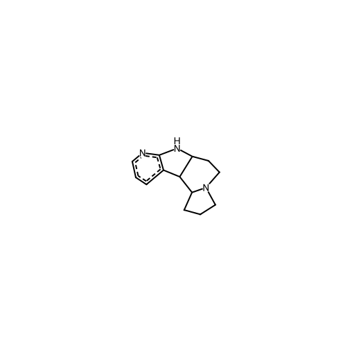 c1cnc2c(c1)C1C(CCN3CCCC13)N2